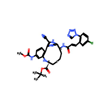 COC(=O)Nc1ccc2c(c1)N[C@@H](C(=O)OC(C)(C)C)CCCC[C@H](NC(=O)C=Cc1cc(Cl)ccc1-n1cnnn1)c1nc-2c(C#N)[nH]1